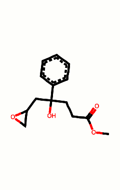 COC(=O)CCC(O)(CC1CO1)c1ccccc1